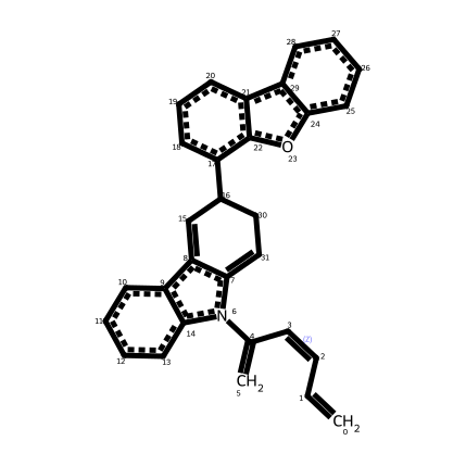 C=C/C=C\C(=C)n1c2c(c3ccccc31)=CC(c1cccc3c1oc1ccccc13)CC=2